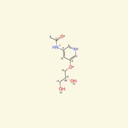 CC(=O)Nc1cncc(OC[C@H](O)CO)c1